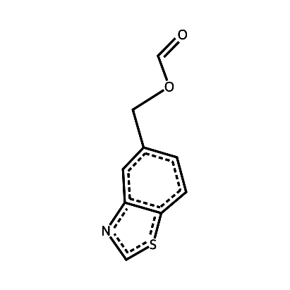 O=COCc1ccc2scnc2c1